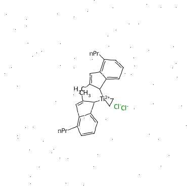 CCCc1cccc2c1C=C(C)[CH]2[Ti+2]1([CH]2C(C)=Cc3c(CCC)cccc32)[CH2][CH2]1.[Cl-].[Cl-]